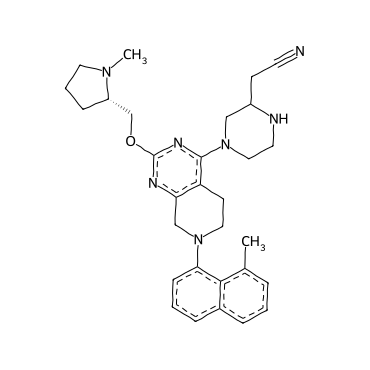 Cc1cccc2cccc(N3CCc4c(nc(OC[C@@H]5CCCN5C)nc4N4CCNC(CC#N)C4)C3)c12